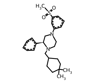 CC1(C)CCC(CN2CCN(c3cccc(S(C)(=O)=O)c3)C[C@@H]2c2ccccc2)CC1